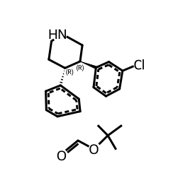 CC(C)(C)OC=O.Clc1cccc([C@@H]2CNCC[C@H]2c2ccccc2)c1